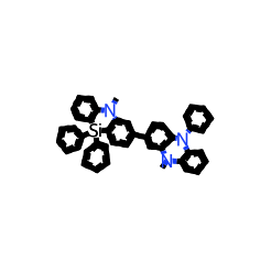 CN1c2ccccc2N(c2ccccc2)c2ccc(-c3ccc4c(c3)N(C)c3ccccc3[Si]4(c3ccccc3)c3ccccc3)cc21